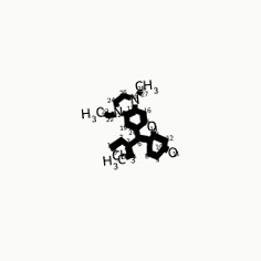 C/C=C\C(=C/C)c1c2ccc(=O)cc-2oc2cc3c(cc12)N(CC)CCN3CC